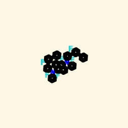 Fc1ccc(-c2ccccc2)cc1-c1ccc(F)c(N(c2ccccc2F)c2cc3cccc4c(N(c5ccccc5F)c5cc(-c6cc(-c7ccccc7)ccc6F)ccc5F)cc5cccc2c5c34)c1